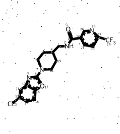 O=C(NCC1CCN(c2nc3cc(Cl)ccc3o2)CC1)c1ccc(C(F)(F)F)nc1